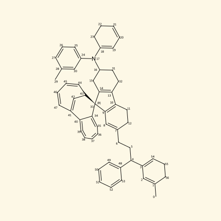 CC1=CC(C(CCC2=CC3=C(CC2)C2=C(CC(N(C4=CC=CCC4)c4cccc(C)c4)CC2)[C@@]32C3=CC=CC=C=C3C3=CC2C=CC=C3)c2ccccc2)=CCC1